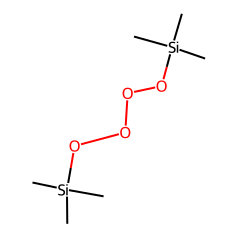 C[Si](C)(C)OOOO[Si](C)(C)C